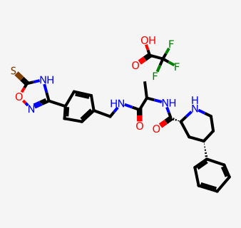 CC(NC(=O)[C@H]1C[C@@H](c2ccccc2)CCN1)C(=O)NCc1ccc(-c2noc(=S)[nH]2)cc1.O=C(O)C(F)(F)F